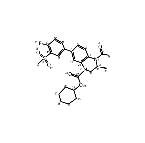 CC(=O)N1c2ccc(-c3ccc(F)c(S(C)(=O)=O)c3)cc2N(C(=O)OC2CCCCC2)C[C@@H]1C